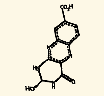 O=C(O)c1ccc2nc3c(nc2c1)NC(O)NC3=O